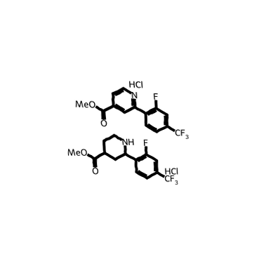 COC(=O)C1CCNC(c2ccc(C(F)(F)F)cc2F)C1.COC(=O)c1ccnc(-c2ccc(C(F)(F)F)cc2F)c1.Cl.Cl